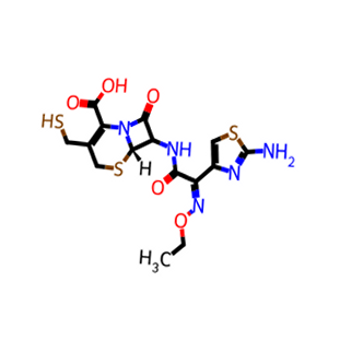 CCO/N=C(\C(=O)NC1C(=O)N2C(C(=O)O)=C(CS)CS[C@@H]12)c1csc(N)n1